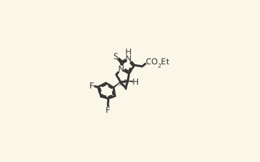 CCOC(=O)Cc1[nH]c(=S)n2c1[C@@H]1C[C@]1(c1cc(F)cc(F)c1)C2